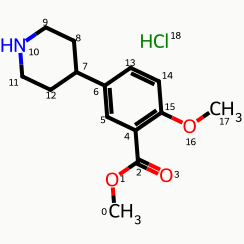 COC(=O)c1cc(C2CCNCC2)ccc1OC.Cl